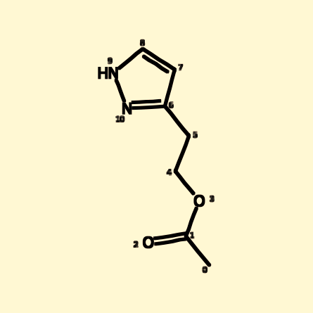 CC(=O)OCCc1cc[nH]n1